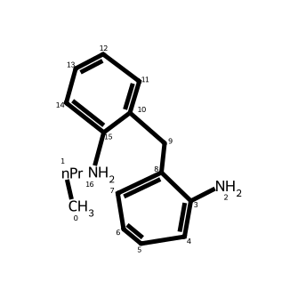 CCCC.Nc1ccccc1Cc1ccccc1N